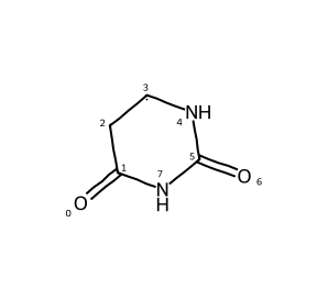 O=C1C[CH]NC(=O)N1